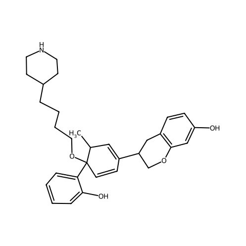 CC1C=C(C2COc3cc(O)ccc3C2)C=CC1(OCCCCC1CCNCC1)c1ccccc1O